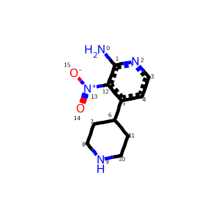 Nc1nccc(C2CCNCC2)c1[N+](=O)[O-]